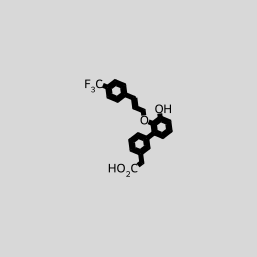 O=C(O)Cc1cccc(-c2cccc(O)c2OC/C=C/c2ccc(C(F)(F)F)cc2)c1